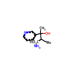 CCC(C)C(C(=O)O)C(C)(O)c1cccnc1.N